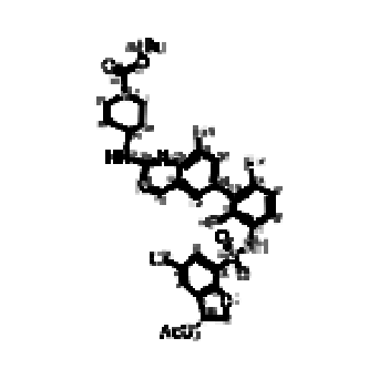 CC(=O)O[C@H]1COc2c1cc(Cl)cc2S(=O)(=O)Nc1ccc(F)c(-c2cc(F)c3nc(NC4CCN(C(=O)OC(C)(C)C)CC4)ncc3c2)c1F